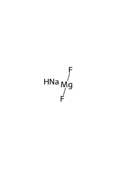 [F][Mg][F].[NaH]